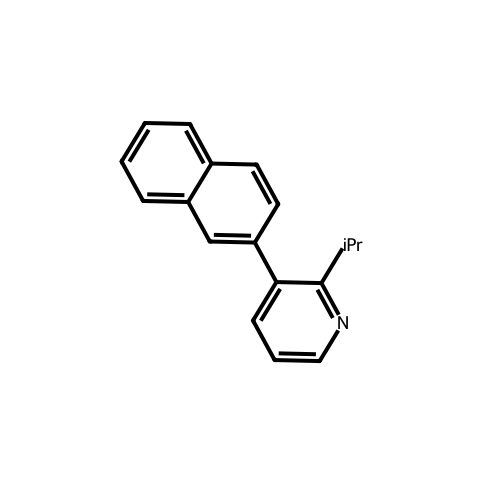 CC(C)c1ncccc1-c1ccc2ccccc2c1